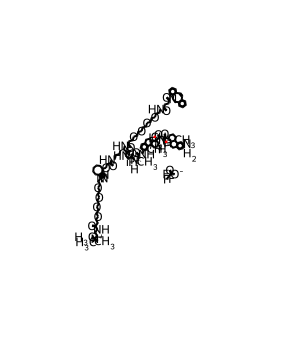 CC(C)[C@H](NC(=O)[C@@H](CCCCNC(=O)COC1CCCCCc2c1nnn2CCOCCOCCOCCOCCC(=O)NCC[N+](C)(C)C)NC(=O)CCOCCOCCOCCOCCNC(=O)CCC(=O)N1Cc2ccccc2C#Cc2ccccc21)C(=O)N[C@@H](C)C(=O)Nc1ccc2c(c1)[C@@]1(C)CCC[C@](C)(C(=O)NC(=O)[C@@]3(C)CCC[C@]4(C)c5cc(N)ccc5CC[C@@H]34)[C@@H]1CC2.O=C([O-])C(F)(F)F